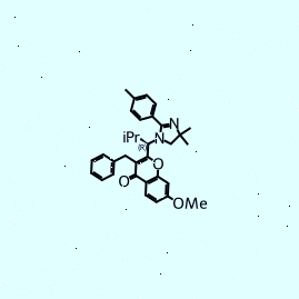 COc1ccc2c(=O)c(Cc3ccccc3)c([C@@H](C(C)C)N3CC(C)(C)N=C3c3ccc(C)cc3)oc2c1